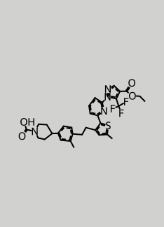 CCOC(=O)c1cnn(-c2cccc(-c3sc(C)cc3CCc3ccc(C4CCN(C(=O)O)CC4)cc3C)n2)c1C(F)(F)F